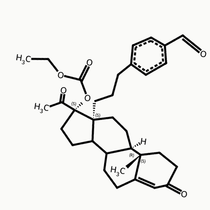 CCOC(=O)O[C@@]1(C(C)=O)CCC2C3CCC4=CC(=O)CC[C@@]4(C)[C@@H]3CC[C@@]21CCCc1ccc(C=O)cc1